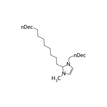 CCCCCCCCCCCCCCCCCCC1N(C)C=CN1CCCCCCCCCCC